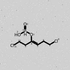 O=[PH](O)OC(=CCCCl)CCCl